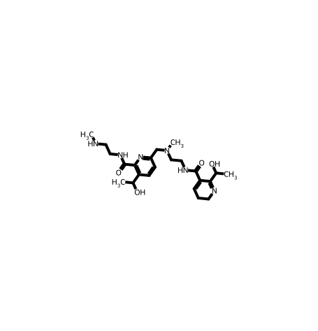 CNCCNC(=O)c1nc(CN(C)CCNC(=O)C2=CCCN=C2C(C)O)ccc1C(C)O